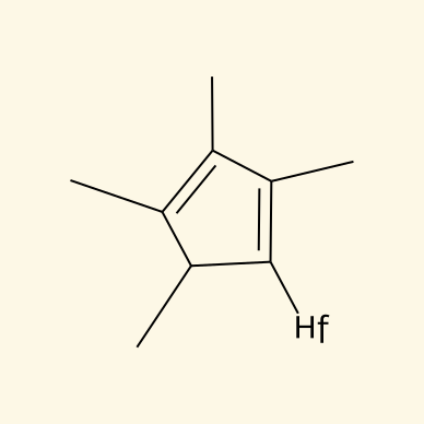 CC1=C(C)C(C)[C]([Hf])=C1C